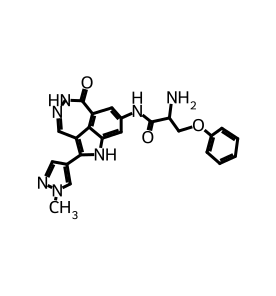 Cn1cc(-c2[nH]c3cc(NC(=O)C(N)COc4ccccc4)cc4c3c2C=NNC4=O)cn1